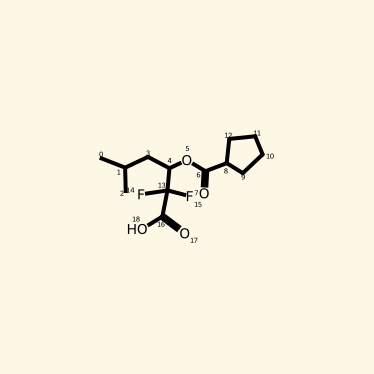 CC(C)CC(OC(=O)C1CCCC1)C(F)(F)C(=O)O